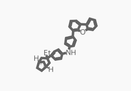 CCC1(c2ccc(Nc3ccc(-c4cccc5c4oc4ccccc45)cc3)cc2)C[C@@H]2CC[C@H](C2)C1